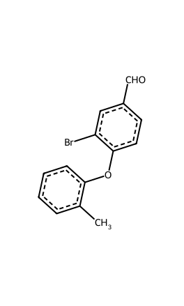 Cc1ccccc1Oc1ccc(C=O)cc1Br